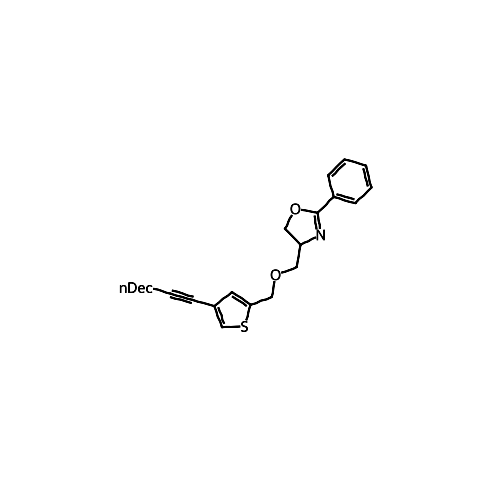 CCCCCCCCCCC#Cc1csc(COCC2COC(c3ccccc3)=N2)c1